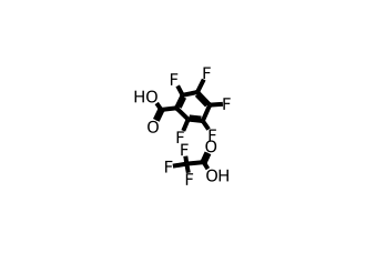 O=C(O)C(F)(F)F.O=C(O)c1c(F)c(F)c(F)c(F)c1F